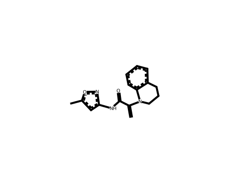 C=C(C(=O)Nc1cc(C)on1)N1CCCc2ccccc21